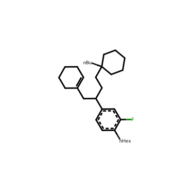 CCCCCCc1ccc(C(CCC2(CCCC)CCCCC2)CC2=CCCCC2)cc1F